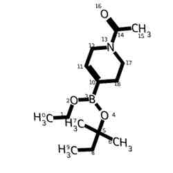 CCOB(OC(C)(C)CC)C1=CCN(C(C)=O)CC1